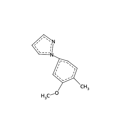 COc1cc(-n2cccn2)ccc1C